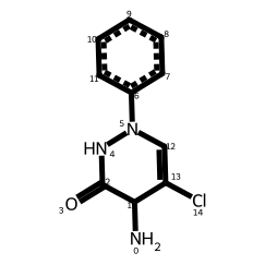 NC1C(=O)NN(c2ccccc2)C=C1Cl